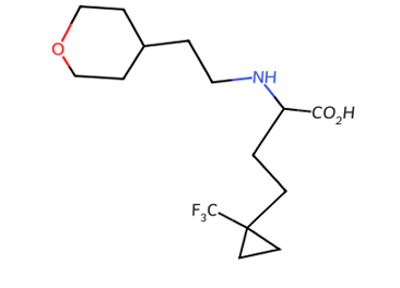 O=C(O)C(CCC1(C(F)(F)F)CC1)NCCC1CCOCC1